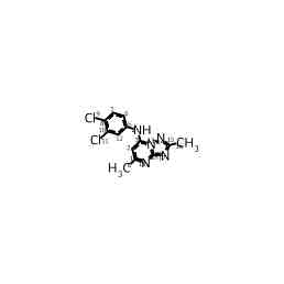 Cc1cc(Nc2ccc(Cl)c(Cl)c2)n2nc(C)nc2n1